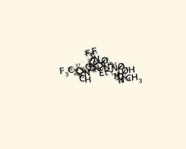 CCc1c(N2CCN(C(=O)c3ncnc(C)c3O)CC2)c(=O)c2nc(C(F)F)cnc2n1CC(=O)Nc1ccc(C(F)(F)F)cc1Cl